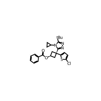 CC(C)(C)c1nnc([C@]2(c3ccc(Cl)s3)C[C@H](OC(=O)c3ccccc3)C2)n1C1CC1